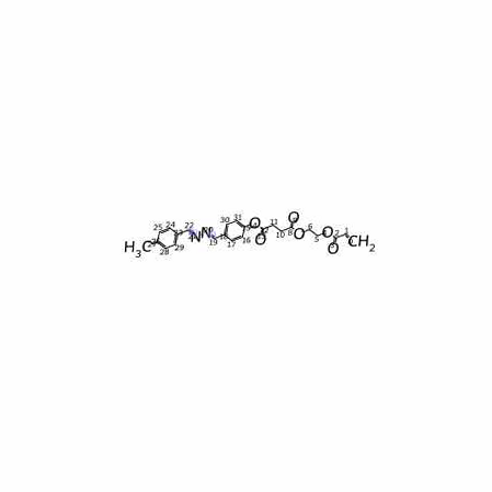 C=CC(=O)OCCOC(=O)CCC(=O)Oc1ccc(/C=N/N=C/c2ccc(C)cc2)cc1